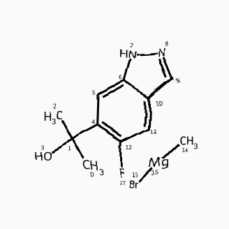 CC(C)(O)c1cc2[nH]ncc2cc1F.[CH3][Mg][Br]